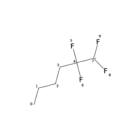 CCCCC(F)(F)[C](F)F